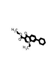 CCOC(=O)c1cn(CC)c2cc(C3CCCCC3)ccc2c1=O